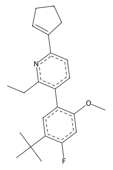 CCc1nc(C2=CCCC2)ccc1-c1cc(C(C)(C)C)c(F)cc1OC